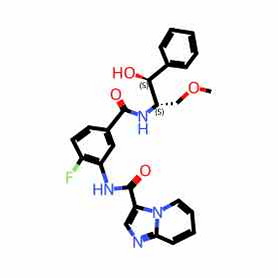 COC[C@H](NC(=O)c1ccc(F)c(NC(=O)c2cnc3ccccn23)c1)[C@@H](O)c1ccccc1